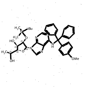 COc1ccc(C(Nc2ncnc3c2ncn3[C@@H]2O[C@H]([C@H](C)O)[C@@H](O)[C@H]2O[Si](C)(C)C(C)(C)C)(c2ccccc2)c2ccccc2)cc1